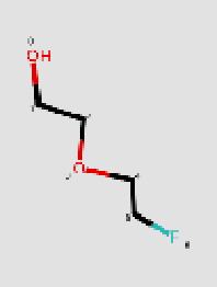 OCCOCCF